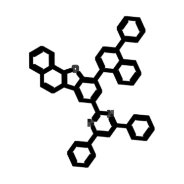 c1ccc(-c2cc(-c3ccccc3)nc(-c3cc(-c4ccc(-c5ccccc5)c5ccccc45)c4oc5c6ccccc6ccc5c4c3)n2)cc1